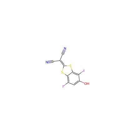 N#CC(C#N)=C1Sc2c(I)cc(O)c(I)c2S1